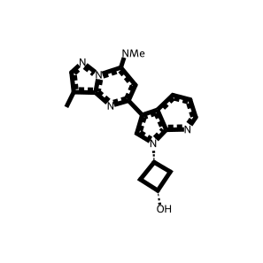 CNc1cc(-c2cn([C@H]3C[C@@H](O)C3)c3ncccc23)nc2c(C)cnn12